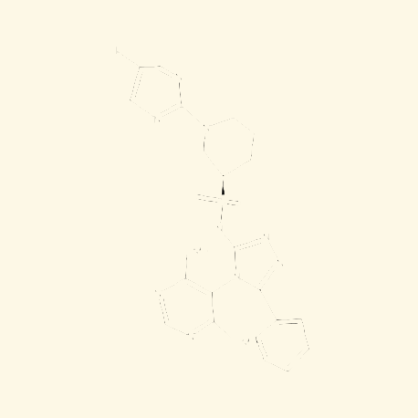 COc1ncnc(OC)c1-n1c(NS(=O)(=O)[C@@H]2CCCN(c3ncc(Cl)cn3)C2)nnc1-c1ccccc1